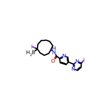 BC1(I)CCCCCC(NC(=O)c2ccc(-c3nccc(I)n3)cn2)CCC1